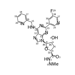 CNNC(=O)[C@@H]1C[C@@H](O)[C@H](n2cnc3c(NCc4ccccn4)nc(-c4cncc(F)c4)nc32)O1